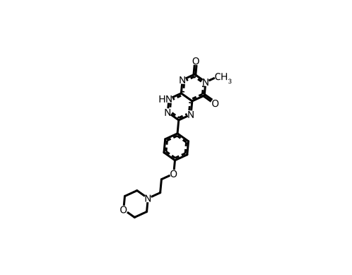 Cn1c(=O)nc2[nH]nc(-c3ccc(OCCN4CCOCC4)cc3)nc-2c1=O